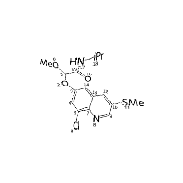 COC(Oc1cc(Cl)c2ncc(SC)cc2c1)C(=O)NC(C)C